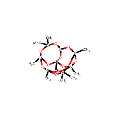 CO[Si]1(C)O[Si]2(C)O[Si]3(C)O[Si](C)(C)O[Si]4(C)O[Si](C)(O1)O[Si](C)(O2)O[Si](C)(O3)O4